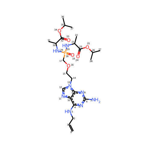 C=CCNc1nc(N)nc2c1ncn2CCOCP(=O)(NC(C)C(=O)OC(C)C)NC(C)C(=O)OC(C)C